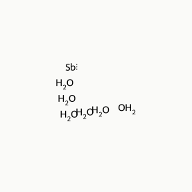 O.O.O.O.O.O.[Sb]